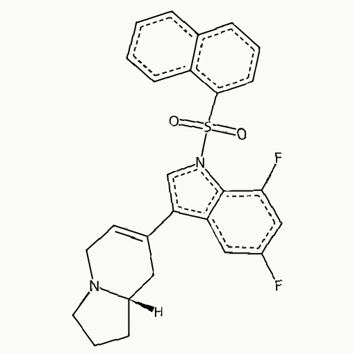 O=S(=O)(c1cccc2ccccc12)n1cc(C2=CCN3CCC[C@H]3C2)c2cc(F)cc(F)c21